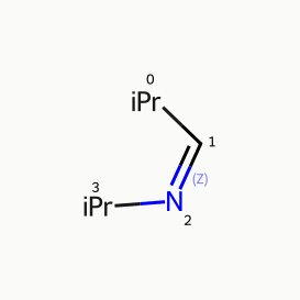 CC(C)/C=N\C(C)C